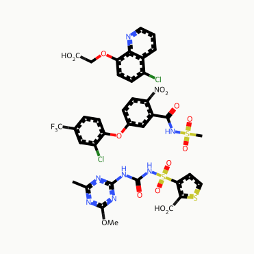 COc1nc(C)nc(NC(=O)NS(=O)(=O)c2ccsc2C(=O)O)n1.CS(=O)(=O)NC(=O)c1cc(Oc2ccc(C(F)(F)F)cc2Cl)ccc1[N+](=O)[O-].O=C(O)COc1ccc(Cl)c2cccnc12